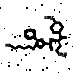 CCOC(=O)N1CCN(C(=O)[C@H](CCC(=O)O)NC(=O)c2cc(OCCCCO)n(-c3ccccc3)n2)CC1